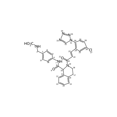 O=C(O)NCc1ccc(NC(=O)C2c3ccccc3CCN2C(=O)C=Cc2cc(Cl)ccc2-n2cnnn2)cc1